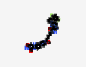 O=C1CCC(Nc2ccc(N3CCN(C(=O)CCCCCNC(=O)c4cnn5ccc(N6CCC[C@@H]6c6cc(F)ccc6F)nc45)CC3)cc2)C(=O)N1